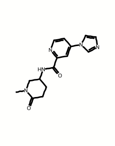 CN1CC(NC(=O)c2cc(-n3ccnc3)ccn2)CCC1=O